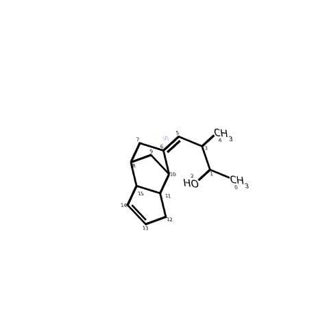 CC(O)C(C)/C=C1/CC2CC1C1CC=CC21